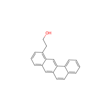 OCCc1cccc2cc3ccc4ccccc4c3cc12